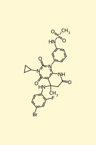 CC1(Nc2ccc(Br)cc2F)CC(=O)Nc2c1c(=O)n(C1CC1)c(=O)n2-c1cccc(NS(C)(=O)=O)c1